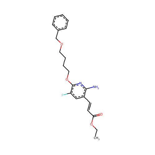 CCOC(=O)C=Cc1cc(F)c(OCCCCOCc2ccccc2)nc1N